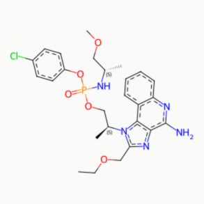 CCOCc1nc2c(N)nc3ccccc3c2n1[C@@H](C)COP(=O)(N[C@@H](C)COC)Oc1ccc(Cl)cc1